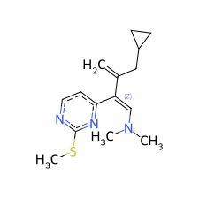 C=C(CC1CC1)/C(=C/N(C)C)c1ccnc(SC)n1